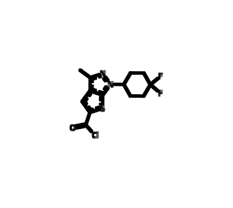 Cc1nn(C2CCC(F)(F)CC2)c2sc(C(=O)Cl)cc12